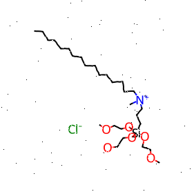 CCCCCCCCCCCCCCCC[N+](C)(C)CCC[Si](OCCOC)(OCCOC)OCCOC.[Cl-]